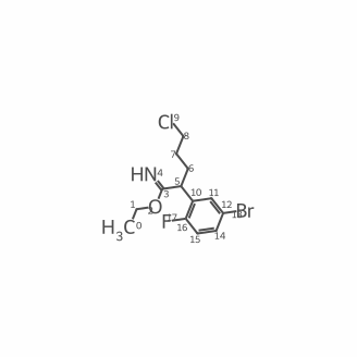 CCOC(=N)C(CCCCl)c1cc(Br)ccc1F